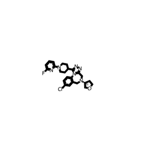 Fc1cccc(N2CCC(c3nnc4n3-c3ccc(Cl)cc3CN([C@H]3CCOC3)C4)CC2)n1